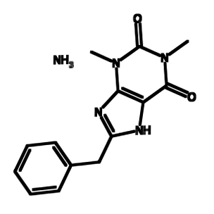 Cn1c(=O)c2[nH]c(Cc3ccccc3)nc2n(C)c1=O.N